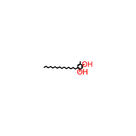 CCCCCCCCCCCCCCCc1cc(C)c(O)cc1O